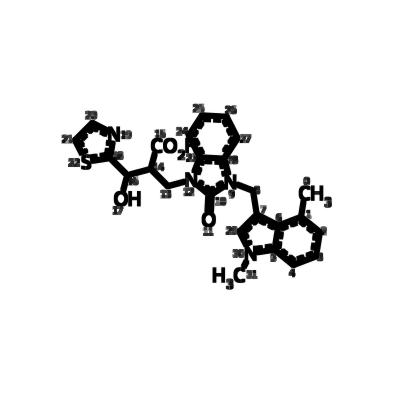 Cc1cccc2c1c(Cn1c(=O)n(CC(C(=O)O)C(O)c3nccs3)c3ccccc31)cn2C